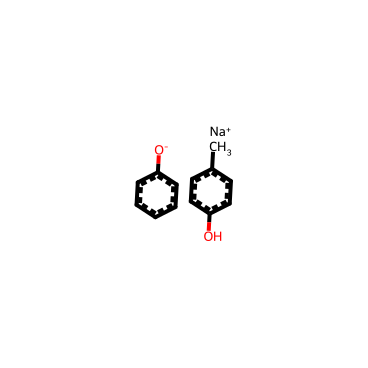 Cc1ccc(O)cc1.[Na+].[O-]c1ccccc1